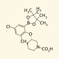 Cc1cc(Cl)cc(B2OC(C)(C)C(C)(C)O2)c1O[C@H]1CCCN(C(=O)O)C1